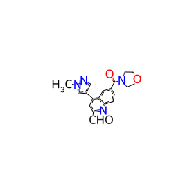 Cn1cc(-c2cc(C=O)nc3ccc(C(=O)N4CCOCC4)cc23)cn1